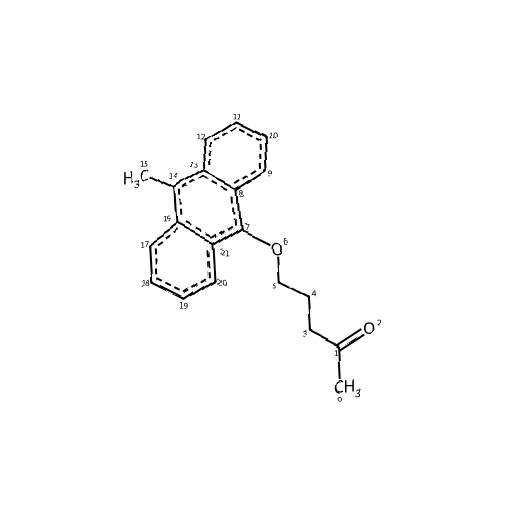 CC(=O)CCCOc1c2ccccc2c(C)c2ccccc12